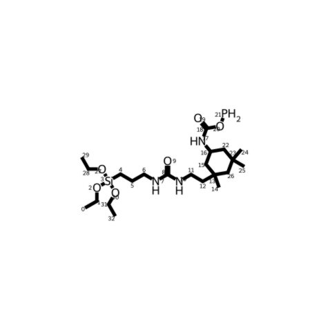 CCO[Si](CCCNC(=O)NCCC1(C)CC(NC(=O)OP)CC(C)(C)C1)(OCC)OCC